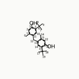 Cc1cc(O)c(C(C)(C)C)cc1Cc1cc(C(C)(C)C)c(O)cc1C